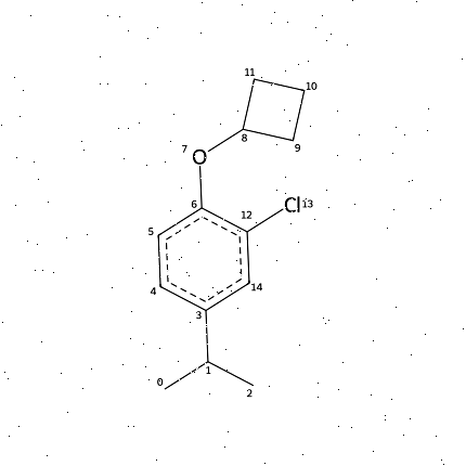 CC(C)c1ccc(OC2CCC2)c(Cl)c1